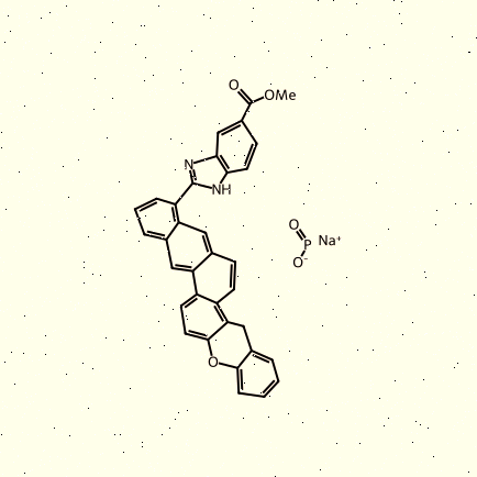 COC(=O)c1ccc2[nH]c(-c3cccc4cc5c(ccc6c7c(ccc65)Oc5ccccc5C7)cc34)nc2c1.O=P[O-].[Na+]